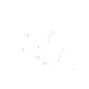 CCC(C)(C)C.OP(O)O